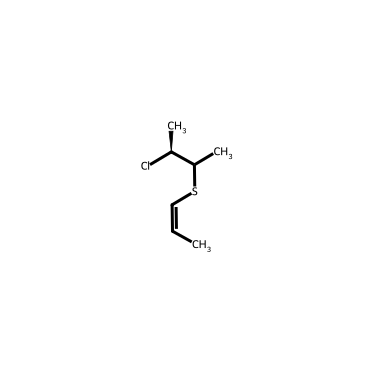 C/C=C\SC(C)[C@H](C)Cl